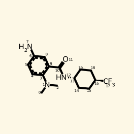 CN(C)c1ccc(N)cc1C(=O)N[C@H]1CC[C@H](C(F)(F)F)CC1